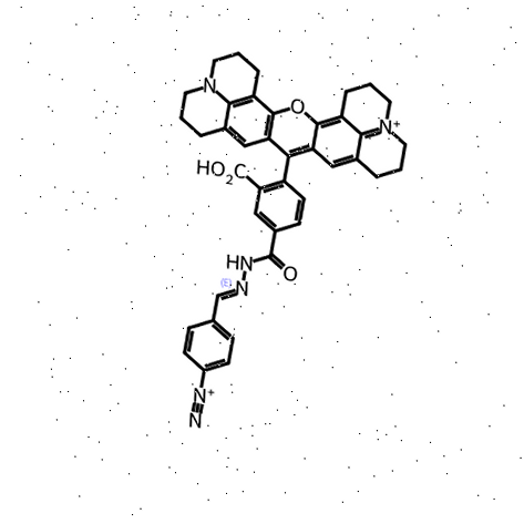 N#[N+]c1ccc(/C=N/NC(=O)c2ccc(C3=c4cc5c6c(c4Oc4c3cc3c7c4CCCN7CCC3)CCC[N+]=6CCC5)c(C(=O)O)c2)cc1